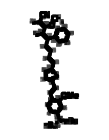 CCCCN(CCCC)c1ccc(/C=C/c2ccc(/C=C/C=C/C(=C(C)/C(OC(F)(F)F)=C(\C)C#N)c3ccccc3)s2)c(OC)c1